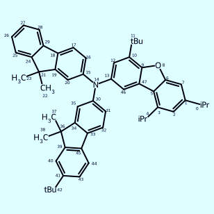 CC(C)c1cc(C(C)C)c2c(c1)oc1c(C(C)(C)C)cc(N(c3ccc4c(c3)C(C)(C)c3ccccc3-4)c3ccc4c(c3)C(C)(C)c3cc(C(C)(C)C)ccc3-4)cc12